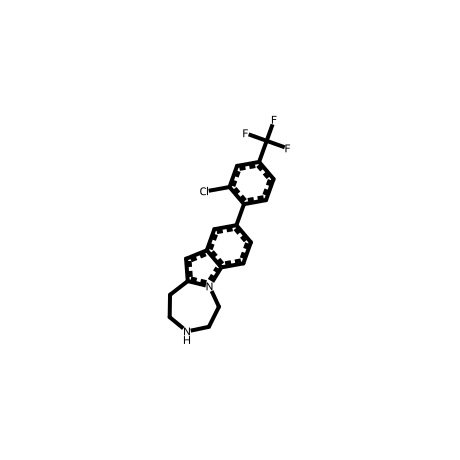 FC(F)(F)c1ccc(-c2ccc3c(c2)cc2n3CCNCC2)c(Cl)c1